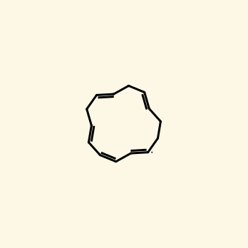 [C]1=C/C=C\C=C\C/C=C/C/C=C/CC/1